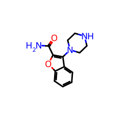 NC(=O)c1oc2ccccc2c1N1CCNCC1